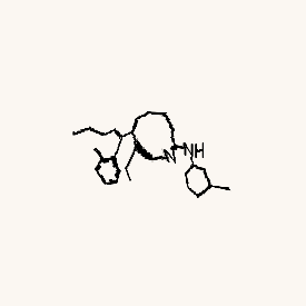 CCC/C=C(/C1=CCCC/C(N[C@@H]2CCC[C@H](C)C2)=N\C=C/1CC)c1ccccc1C